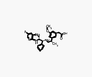 COc1cc(CC(=O)O)cc([C@H](C)CN[C@H](c2ccccc2)[C@H]2CNc3cc(F)cnc3N2)c1